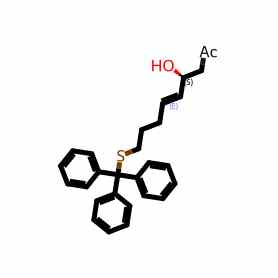 CC(=O)C[C@H](O)/C=C/CCCSC(c1ccccc1)(c1ccccc1)c1ccccc1